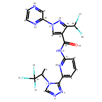 CC(n1cnnc1-c1cccc(NC(=O)c2cn(-c3cnccn3)nc2C(F)F)n1)C(F)(F)F